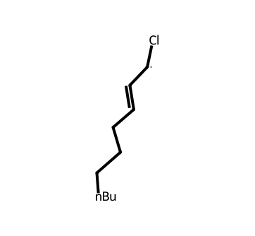 CCCCCCCC=C[CH]Cl